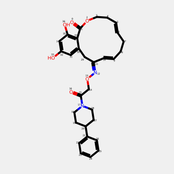 O=C1OCC/C=C/CC/C=C/C(=NOCC(=O)N2CCC(c3ccccc3)CC2)Cc2cc(O)cc(O)c21